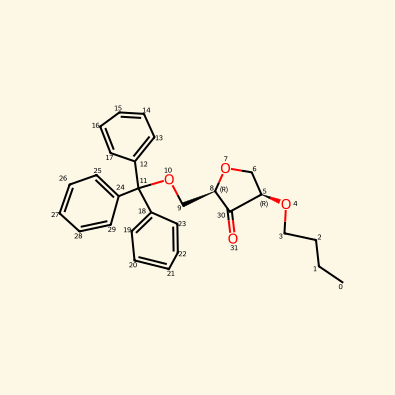 CCCCO[C@@H]1CO[C@H](COC(c2ccccc2)(c2ccccc2)c2ccccc2)C1=O